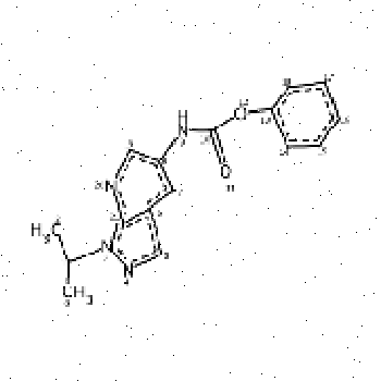 CC(C)n1ncc2cc(NC(=O)Oc3ccccc3)cnc21